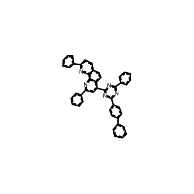 c1ccc(-c2ccc(-c3nc(-c4ccccc4)nc(-c4cc(-c5ccccc5)nc5c4ccc4ccc(-c6ccccc6)nc45)n3)cc2)cc1